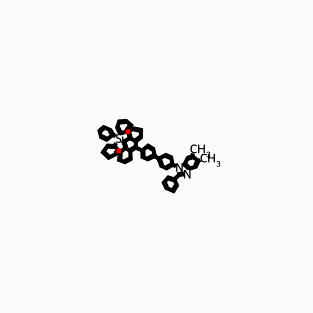 Cc1cc2nc(-c3ccccc3)n(-c3ccc(-c4ccc(-c5c6ccccc6c([Si](c6ccccc6)(c6ccccc6)c6ccccc6)c6ccccc56)cc4)cc3)c2cc1C